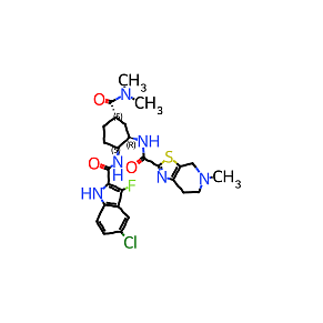 CN1CCc2nc(C(=O)N[C@@H]3C[C@@H](C(=O)N(C)C)CC[C@@H]3NC(=O)c3[nH]c4ccc(Cl)cc4c3F)sc2C1